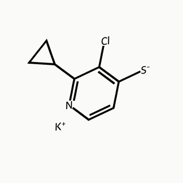 [K+].[S-]c1ccnc(C2CC2)c1Cl